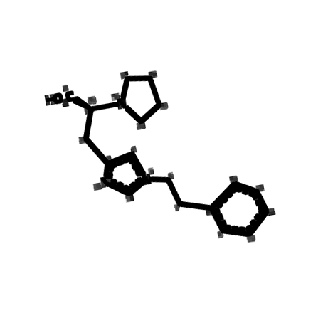 O=C(O)[C@H](Cc1cn(CCc2ccccc2)cn1)N1CCCC1